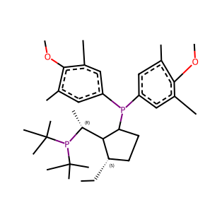 CC[C@H]1CCC(P(c2cc(C)c(OC)c(C)c2)c2cc(C)c(OC)c(C)c2)C1[C@@H](C)P(C(C)(C)C)C(C)(C)C